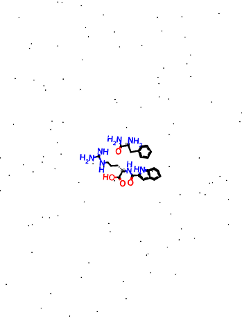 N=C(N)NCCC[C@H](NC(=O)c1cc2ccccc2[nH]1)C(=O)O.NC(=O)[C@@H](N)Cc1ccccc1